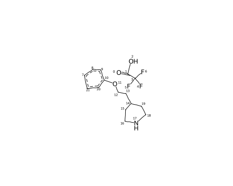 O=C(O)C(F)(F)F.c1ccc(OCCC2CCNCC2)cc1